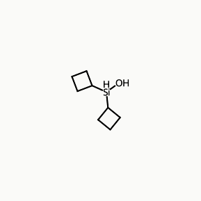 O[SiH](C1CCC1)C1CCC1